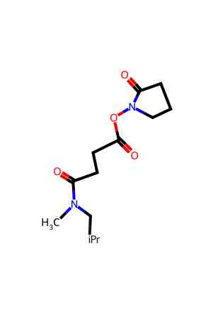 CC(C)CN(C)C(=O)CCC(=O)ON1CCCC1=O